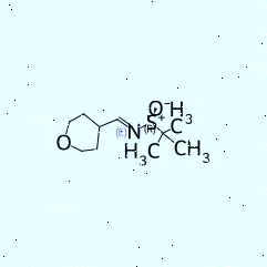 CC(C)(C)[S@+]([O-])/N=C/C1CCOCC1